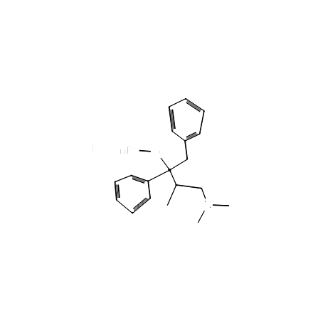 CCCOC(Cc1ccccc1)(c1ccccc1)C(C)CN(C)C.Cl